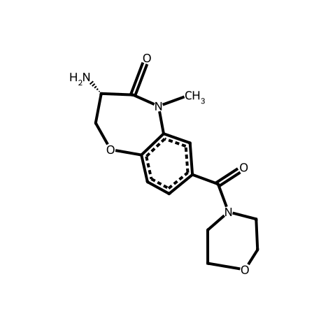 CN1C(=O)[C@@H](N)COc2ccc(C(=O)N3CCOCC3)cc21